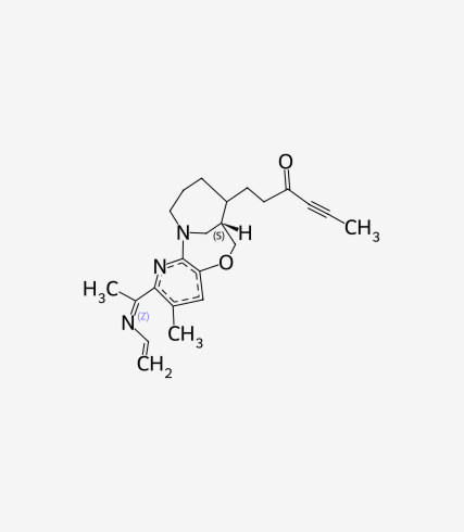 C=C/N=C(/C)c1nc2c(cc1C)OC[C@@H]1CN2CCCC1CCC(=O)C#CC